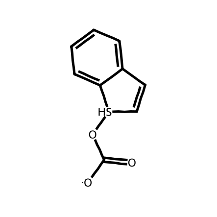 [O]C(=O)O[SH]1C=Cc2ccccc21